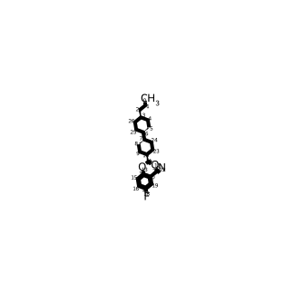 CCC[C@H]1CC[C@H]([C@H]2CC[C@H](C(=O)Oc3ccc(F)cc3C#N)CC2)CC1